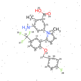 Cc1c(N)cc(-n2c(C)ccc2-c2cc(C(F)(F)F)ccc2OCc2ccc(F)cc2)cc1C(=O)O